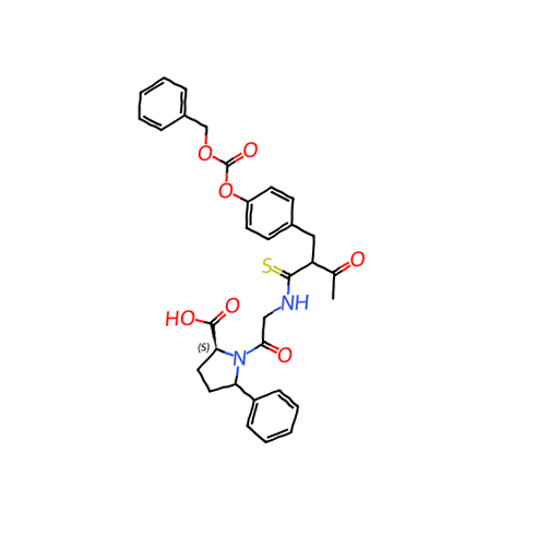 CC(=O)C(Cc1ccc(OC(=O)OCc2ccccc2)cc1)C(=S)NCC(=O)N1C(c2ccccc2)CC[C@H]1C(=O)O